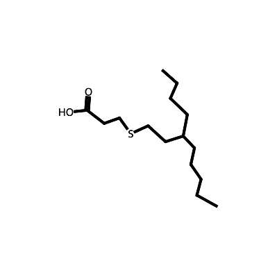 CCCCCC(CCCC)CCSCCC(=O)O